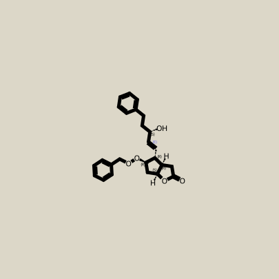 O=C1C[C@@H]2[C@@H](/C=C/[C@@H](O)CCc3ccccc3)[C@H](OOCc3ccccc3)C[C@@H]2O1